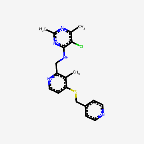 Cc1nc(C)c(Cl)c(NCc2nccc(SCc3ccncc3)c2C)n1